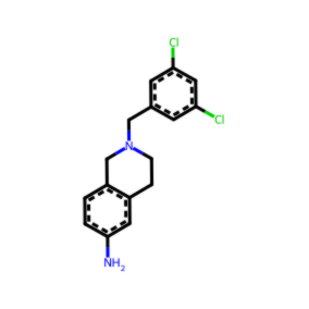 Nc1ccc2c(c1)CCN(Cc1cc(Cl)cc(Cl)c1)C2